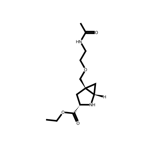 CCOC(=O)[C@@H]1C[C@]2(COCCNC(C)=O)C[C@@H]2N1